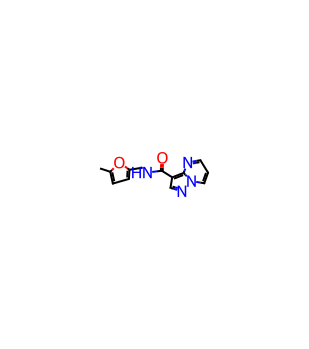 Cc1ccc(CNC(=O)c2cnn3cccnc23)o1